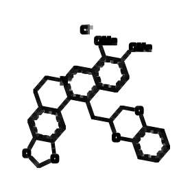 COc1ccc2c(CC3COc4ccccc4O3)c3[n+](cc2c1OC)CCc1cc2c(cc1-3)OCO2.[Cl-]